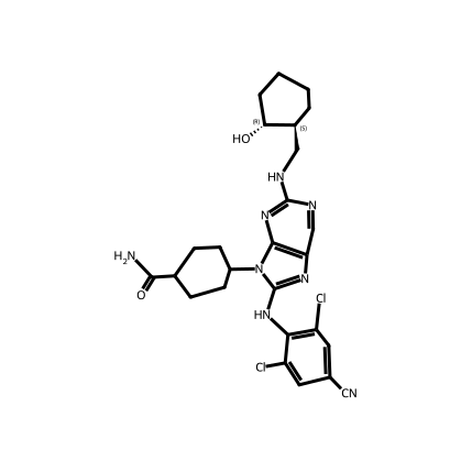 N#Cc1cc(Cl)c(Nc2nc3cnc(NC[C@@H]4CCCC[C@H]4O)nc3n2C2CCC(C(N)=O)CC2)c(Cl)c1